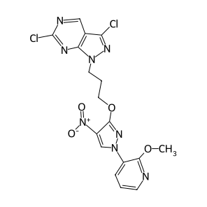 COc1ncccc1-n1cc([N+](=O)[O-])c(OCCCn2nc(Cl)c3cnc(Cl)nc32)n1